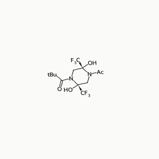 CC(=O)N1C[C@@](O)(C(F)(F)F)N(C(=O)C(C)(C)C)C[C@@]1(O)C(F)(F)F